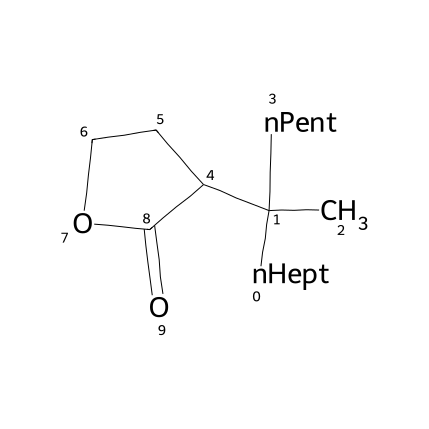 CCCCCCCC(C)(CCCCC)C1CCOC1=O